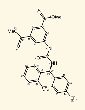 COC(=O)c1cc(NC(=O)N[C@@H](c2ccc(C(F)(F)F)cc2)c2ncccc2C(F)(F)F)cc(C(=O)OC)c1